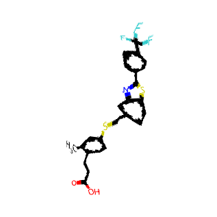 Cc1cc(SCc2ccc3sc(-c4ccc(C(F)(F)F)cc4)nc3c2)ccc1CCC(=O)O